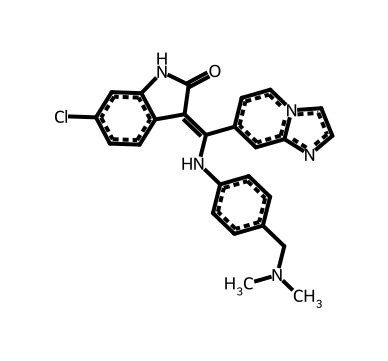 CN(C)Cc1ccc(NC(=C2C(=O)Nc3cc(Cl)ccc32)c2ccn3ccnc3c2)cc1